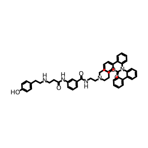 O=C(CCNCCc1ccc(O)cc1)Nc1cccc(C(=O)NCCN2CCC(OC(=O)N(c3ccccc3-c3ccccc3)c3ccccc3-c3ccccc3)CC2)c1